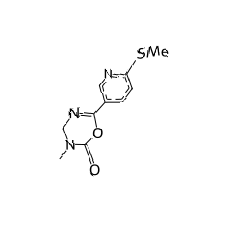 CSc1ccc(C2=NCN(C)C(=O)O2)cn1